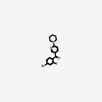 O=C(c1ccc(N2CCCCC2)nc1)c1ccc(Br)cc1F